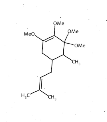 COC1=C(OC)C(OC)(OC)C(C)C(CC=C(C)C)C1